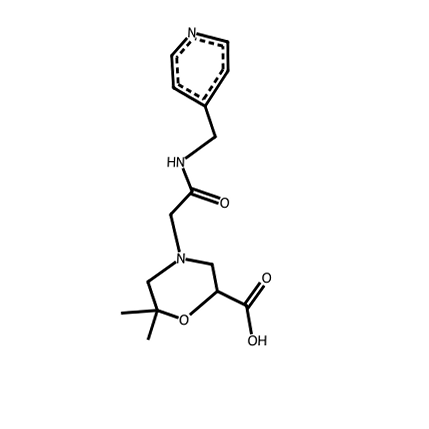 CC1(C)CN(CC(=O)NCc2ccncc2)CC(C(=O)O)O1